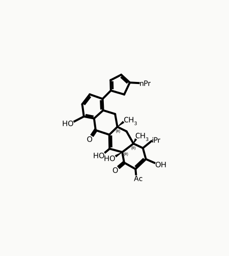 CCCC1=CC=C(c2ccc(O)c3c2C[C@]2(C)C[C@]4(C)C(C(C)C)C(O)=C(C(C)=O)C(=O)[C@]4(O)C(O)=C2C3=O)C1